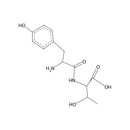 CC(O)C(NC(=O)C(N)Cc1ccc(O)cc1)C(=O)O